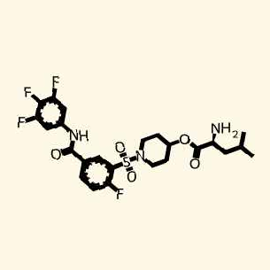 CC(C)C[C@H](N)C(=O)OC1CCN(S(=O)(=O)c2cc(C(=O)Nc3cc(F)c(F)c(F)c3)ccc2F)CC1